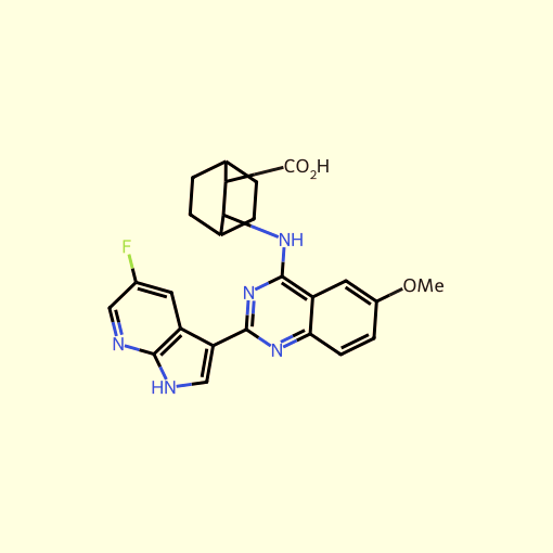 COc1ccc2nc(-c3c[nH]c4ncc(F)cc34)nc(NC3C4CCC(CC4)C3C(=O)O)c2c1